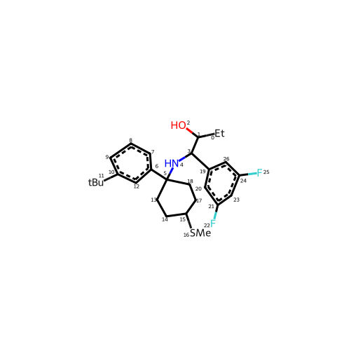 CCC(O)C(NC1(c2cccc(C(C)(C)C)c2)CCC(SC)CC1)c1cc(F)cc(F)c1